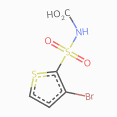 O=C(O)NS(=O)(=O)c1sccc1Br